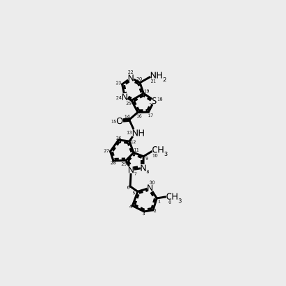 Cc1cccc(Cn2nc(C)c3c(NC(=O)c4csc5c(N)ncnc45)cccc32)n1